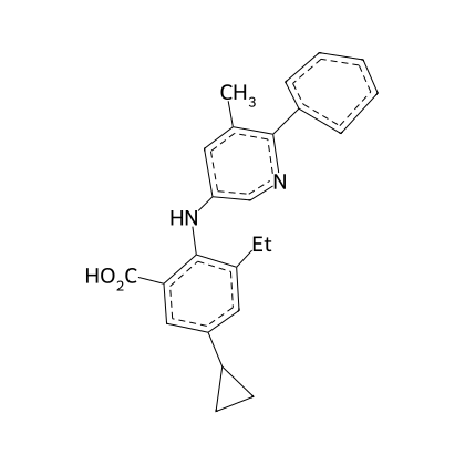 CCc1cc(C2CC2)cc(C(=O)O)c1Nc1cnc(-c2ccccc2)c(C)c1